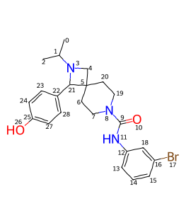 CC(C)N1CC2(CCN(C(=O)Nc3cccc(Br)c3)CC2)C1c1ccc(O)cc1